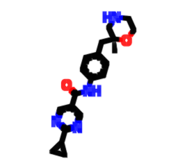 C[C@@]1(Cc2ccc(NC(=O)c3cnc(C4CC4)nc3)cc2)CNCCO1